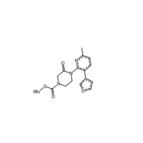 Cc1ccc(-c2ccoc2)c(N2CCN(C(=O)OC(C)(C)C)CC2=O)n1